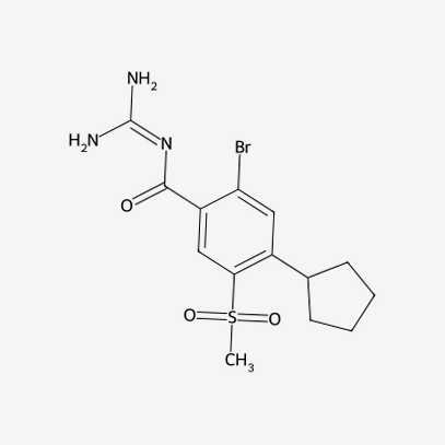 CS(=O)(=O)c1cc(C(=O)N=C(N)N)c(Br)cc1C1CCCC1